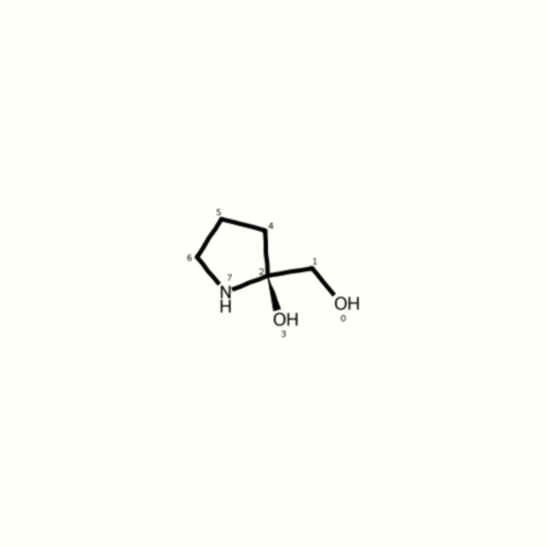 OC[C@@]1(O)CCCN1